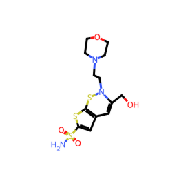 NS(=O)(=O)c1cc2c(s1)SN(CCN1CCOCC1)C(CO)=C2